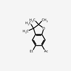 CCc1cc2c(cc1C(C)=O)OC(C)(C)C2(C)C